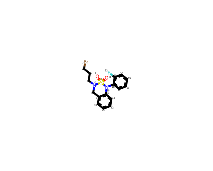 O=S1(=O)N(CCCBr)Cc2ccccc2N1c1ccccc1F